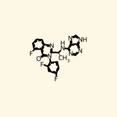 C[C@@H](Nc1ncnc2[nH]cnc12)c1nc2cccc(F)c2c(=O)n1-c1ccc(F)cc1F